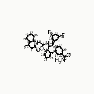 Cc1cc(=O)n(CC(=O)NC(Cc2cc(F)cc(F)c2)c2ncccc2-c2cccc(C(N)=O)c2)c2ccccc12